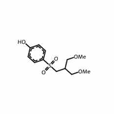 COCC(COC)CS(=O)(=O)c1ccc(O)cc1